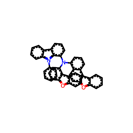 c1ccc(-n2c3ccccc3c3cccc(N(c4cccc5c4ccc4oc6ccccc6c45)c4cccc5oc6ccccc6c45)c32)cc1